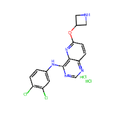 Cl.Cl.Clc1ccc(Nc2ncnc3ccc(OC4CNC4)nc23)cc1Cl